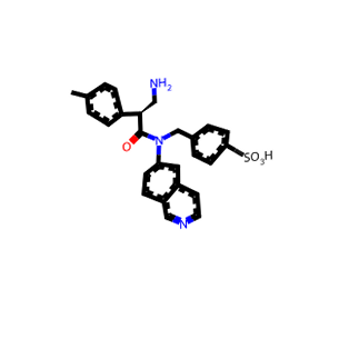 Cc1ccc([C@@H](CN)C(=O)N(Cc2ccc(S(=O)(=O)O)cc2)c2ccc3cnccc3c2)cc1